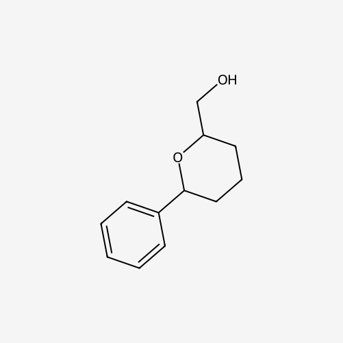 OCC1CCCC(c2ccccc2)O1